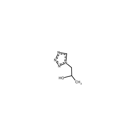 CC(O)Cn1cnnn1